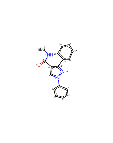 CCCCNC(=O)c1cn(-c2ccccc2)nc1-c1ccccc1